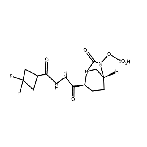 O=C(NNC(=O)[C@@H]1CC[C@@H]2CN1C(=O)N2OS(=O)(=O)O)C1CC(F)(F)C1